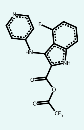 O=C(OC(=O)C(F)(F)F)c1[nH]c2cccc(F)c2c1Nc1ccncc1